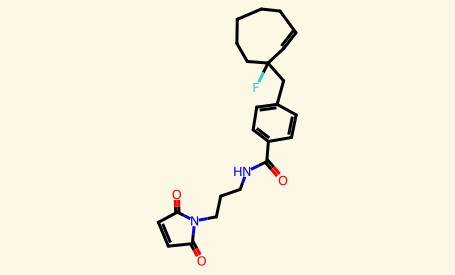 O=C(NCCCN1C(=O)C=CC1=O)c1ccc(CC2(F)/C=C\CCCCC2)cc1